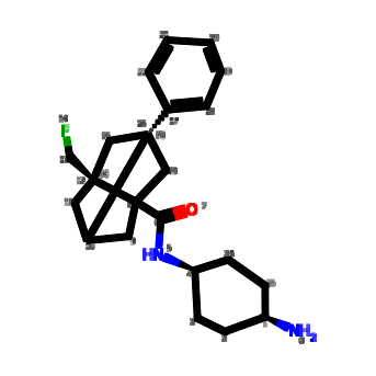 N[C@H]1CC[C@@H](NC(=O)C23CC4C[C@]2(CF)C[C@@]4(c2ccccc2)C3)CC1